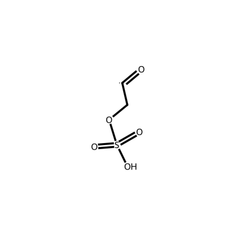 O=[C]COS(=O)(=O)O